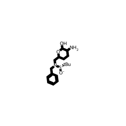 CC(C)(C)[S+]([O-])N(Cc1ccccc1)CC1CCC(N)C(O)O1